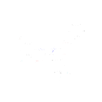 O=C(N[C@H](C(=O)Nc1cc(Br)cc(F)c1O)C1CCC(F)(F)CC1)OCc1ccccc1